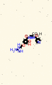 N=C(N)NCCOc1ccc(C(=O)NC[C@H](NC(=O)c2ccncc2)C(=O)O)c(O)c1